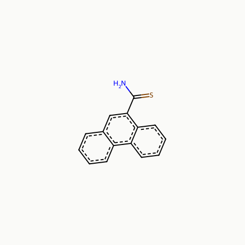 NC(=S)c1cc2ccccc2c2ccccc12